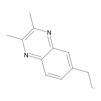 [CH2]Cc1ccc2nc(C)c(C)nc2c1